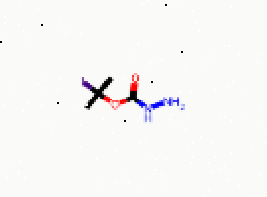 CC(C)(I)OC(=O)NN